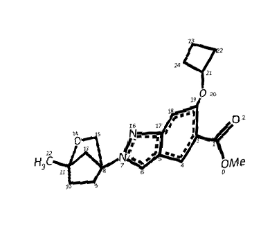 COC(=O)c1cc2cn(C34CCC(C)(C3)OC4)nc2cc1OC1CCC1